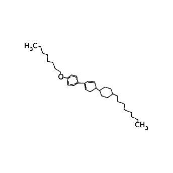 CCCCCCCCOc1ccc(C2=CCC(C3CCC(CCCCCCCC)CC3)C=C2)cc1